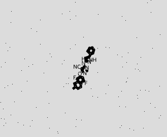 CC1=Cc2c(F)c(Oc3ncnc(Nc4cc(-c5ccccc5)[nH]n4)c3C#N)cc(F)c2CC1